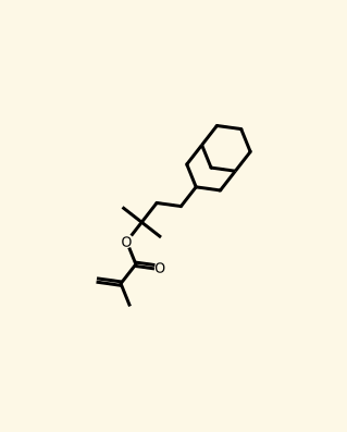 C=C(C)C(=O)OC(C)(C)CCC1CC2CCCC(C2)C1